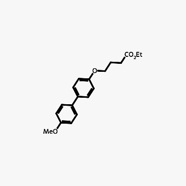 CCOC(=O)CCCOc1ccc(-c2ccc(OC)cc2)cc1